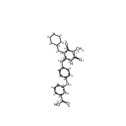 Cn1c(=O)[nH]/c(=N\c2ccc(Oc3cccc(C(=O)O)n3)cc2)n(CC2CCCCC2)c1=O